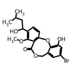 COc1c(C(O)CC(C)C)ccc2c1C(=O)OCc1cc(Br)cc(O)c1O2